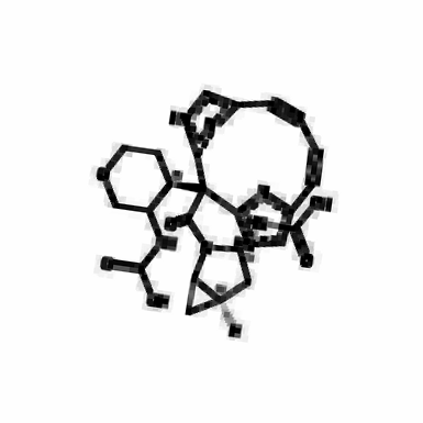 O=C(O)NC1COCC[C@H]1C1(C(=O)N2C3C[C@@H]3C[C@H]2NC(=O)O)c2nc(c[nH]2)C#CC#Cc2c[nH]c1n2